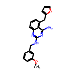 COc1cccc(CNc2nc(N)c3c(Cc4ccco4)cccc3n2)c1